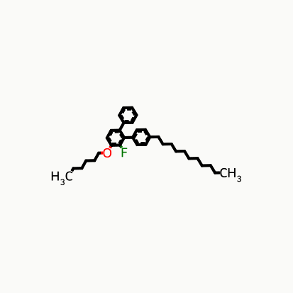 CCCCCCCCCCCc1ccc(-c2c(-c3ccccc3)ccc(OCCCCCC)c2F)cc1